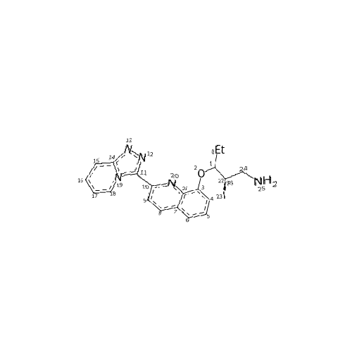 CCC(Oc1cccc2ccc(-c3nnc4ccccn34)nc12)[C@H](I)CN